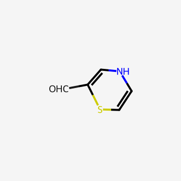 O=CC1=CNC=CS1